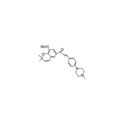 COc1cc(C(=O)/C=C/c2ccc(N3CCN(C)CC3)cc2)cc2c1OC(C)(C)C=C2